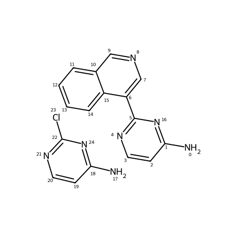 Nc1ccnc(-c2cncc3ccccc23)n1.Nc1ccnc(Cl)n1